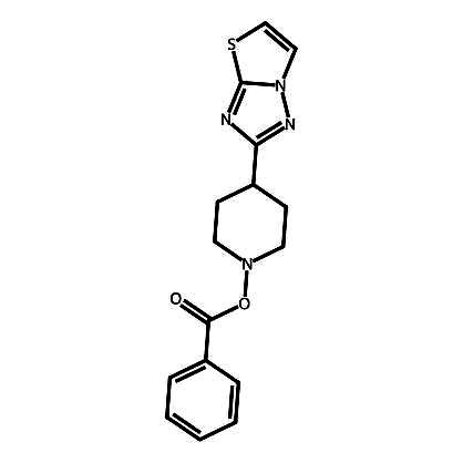 O=C(ON1CCC(c2nc3sccn3n2)CC1)c1ccccc1